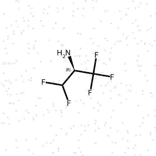 N[C@H](C(F)F)C(F)(F)F